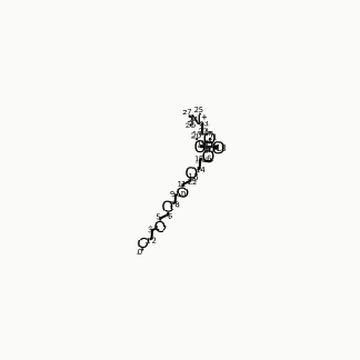 COCCOCCOCCOCCOCCOP(=O)(OC)OCC[N+](C)(C)C